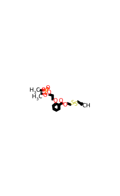 C#CCSSCCOC(=O)c1ccccc1OCCCOP(=O)(OCC)OCC